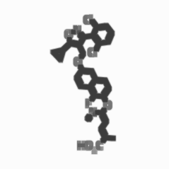 C=N/C(=C\C=C(/C)C(=O)O)Oc1ccc2cc(OCc3c(-c4c(Cl)cccc4Cl)noc3C3CC3)ccc2c1F